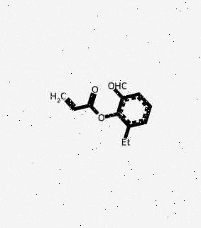 C=CC(=O)Oc1c(C=O)cccc1CC